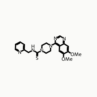 COc1cc2ncnc(N3CCN(C(=S)NCc4ccccn4)CC3)c2cc1OC